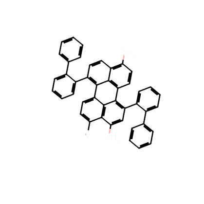 Bc1ccc2c3c(-c4ccccc4-c4ccccc4)cc(B)c4c(C)ccc(c5c(-c6ccccc6-c6ccccc6)ccc1c25)c43